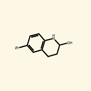 CC(C)c1ccc2c(c1)[CH]CC(O)N2